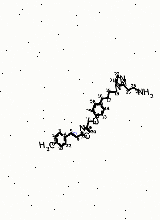 Cc1ccc(/C=C/c2nc(COc3ccc(CCCCn4ccnc4CCN)cc3)co2)cc1